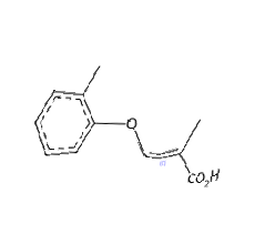 C/C(=C\Oc1ccccc1C)C(=O)O